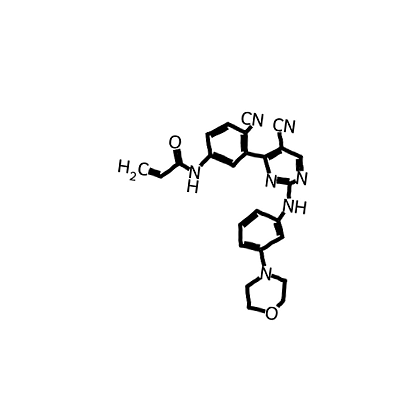 C=CC(=O)Nc1ccc(C#N)c(-c2nc(Nc3cccc(N4CCOCC4)c3)ncc2C#N)c1